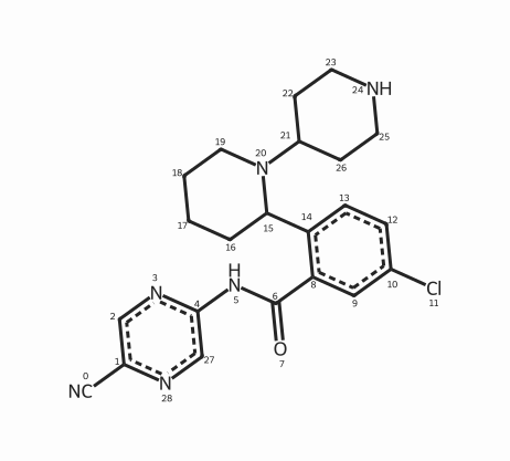 N#Cc1cnc(NC(=O)c2cc(Cl)ccc2C2CCCCN2C2CCNCC2)cn1